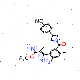 C/C(C(=N)OC(F)(F)F)=C(/N)c1cc(C(=O)N2CC(c3ccc(C#N)cc3)C2)c(C)cc1C